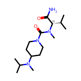 CC(C)[C@@H](C(N)=O)N(C)C(=O)N1CCC(N(C)C(C)C)CC1